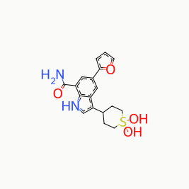 NC(=O)c1cc(-c2ccco2)cc2c(C3CCS(O)(O)CC3)c[nH]c12